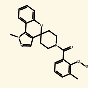 Cc1cccc(C(=O)N2CCC3(CC2)Oc2ccccc2-c2c3cnn2C)c1OC(C)C